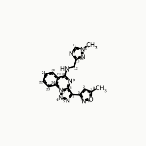 Cc1cc(-c2nnn3c2nc(NCc2ncn(C)n2)c2ccccc23)no1